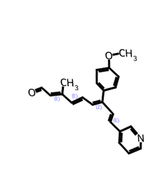 COc1ccc(C(=C\C=C\C(C)=C\C=O)/C=C/c2cccnc2)cc1